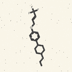 CCCC1CCC(c2ccc(OCC=CC(F)(F)F)cc2)CC1